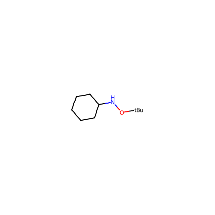 CC(C)(C)ONC1CCCCC1